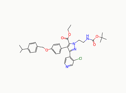 CCOC(=O)c1c(-c2ccc(OCc3ccc(C(C)C)cc3)cc2)c(-c2ccncc2Cl)nn1CCNC(=O)OC(C)(C)C